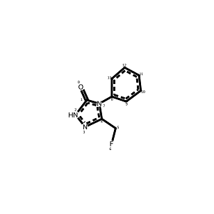 O=c1[nH]nc(CF)n1-c1ccccc1